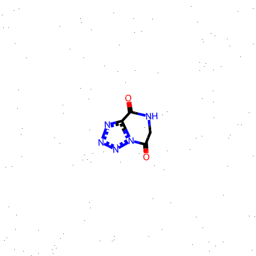 O=C1NCC(=O)n2nnnc21